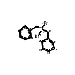 [Br][Ti]([Br])([CH2]c1ccccc1)[CH2]c1ccccc1